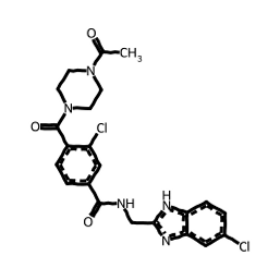 CC(=O)N1CCN(C(=O)c2ccc(C(=O)NCc3nc4cc(Cl)ccc4[nH]3)cc2Cl)CC1